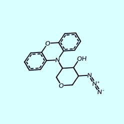 [N-]=[N+]=NC1COCC(N2c3ccccc3Oc3ccccc32)C1O